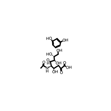 CC(=O)N[C@@H]([C@@H](O)[C@H](O)[C@H](O)CO)[C@@H](O)CC(=O)C(=O)O.Oc1cccc(O)c1